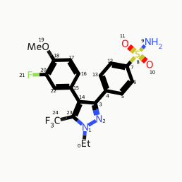 CCn1nc(-c2ccc(S(N)(=O)=O)cc2)c(-c2ccc(OC)c(F)c2)c1C(F)(F)F